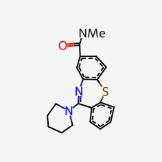 CNC(=O)c1ccc2c(c1)N=C(N1CCCCC1)c1ccccc1S2